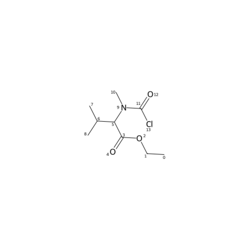 CCOC(=O)C(C(C)C)N(C)C(=O)Cl